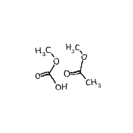 COC(=O)O.COC(C)=O